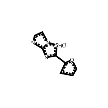 Cl.c1coc(-c2nc3nccn3s2)c1